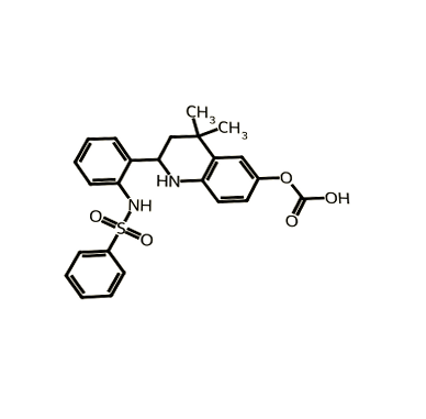 CC1(C)CC(c2ccccc2NS(=O)(=O)c2ccccc2)Nc2ccc(OC(=O)O)cc21